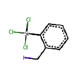 Cl[Si](Cl)(Cl)c1ccccc1CI